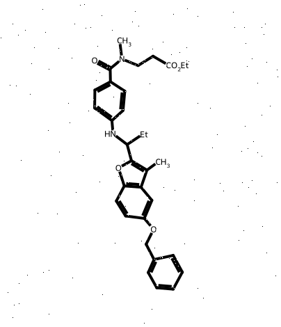 CCOC(=O)CCN(C)C(=O)c1ccc(NC(CC)c2oc3ccc(OCc4ccccc4)cc3c2C)cc1